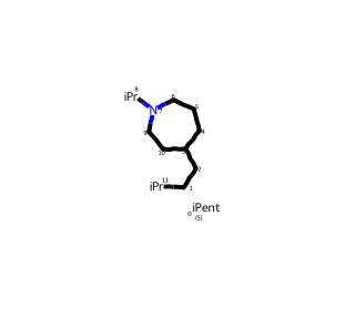 CCC[C@H](C)C(CC1CCCN(C(C)C)CC1)C(C)C